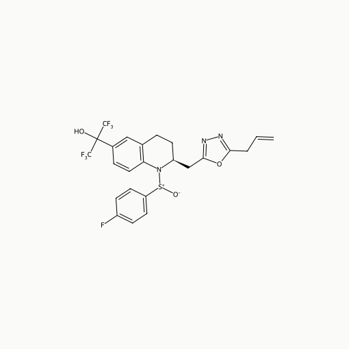 C=CCc1nnc(C[C@@H]2CCc3cc(C(O)(C(F)(F)F)C(F)(F)F)ccc3N2[S+]([O-])c2ccc(F)cc2)o1